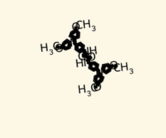 COc1ccc(N(c2ccc(NC(=O)C(=O)Nc3ccc(N(c4ccc(OC)cc4)c4ccc(OC)cc4)cc3)cc2)c2ccc(OC)cc2)cc1